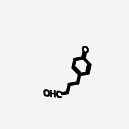 O=CCCCC1=CCC(=O)C=C1